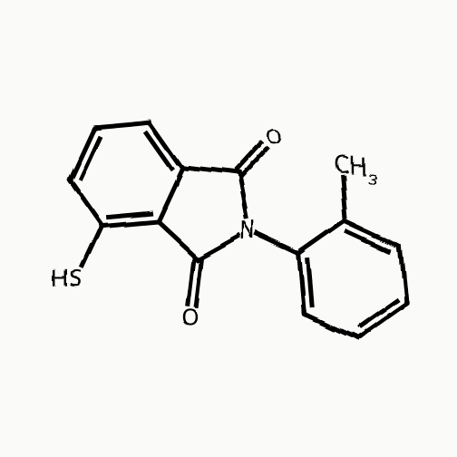 Cc1ccccc1N1C(=O)c2cccc(S)c2C1=O